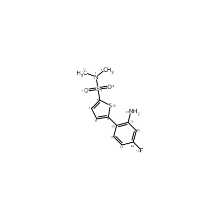 CN(C)S(=O)(=O)c1ccc(-c2ccc(F)cc2N)s1